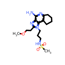 COCCc1nc2c(N)nc3c(c2n1CCCNS(C)(=O)=O)CCCC3